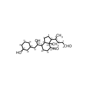 CC(CCC=O)C1CCC2C(C(O)CC3CCCC(O)C3)CCC(N=O)C12C